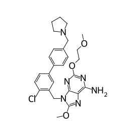 COCCOc1nc(N)c2nc(OC)n(Cc3cc(-c4ccc(CN5CCCC5)cc4)ccc3Cl)c2n1